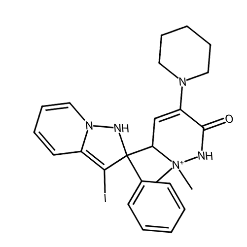 C[N+]1(C)NC(=O)C(N2CCCCC2)=CC1C1(c2ccccc2)NN2C=CC=CC2=C1I